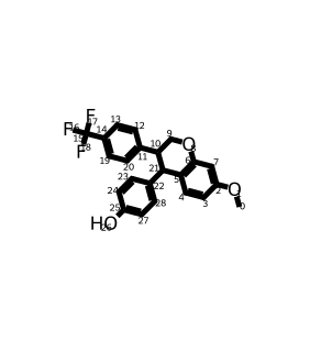 COc1ccc2c(c1)OCC(c1ccc(C(F)(F)F)cc1)C2c1ccc(O)cc1